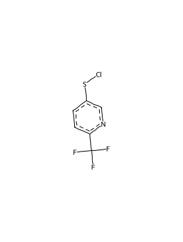 FC(F)(F)c1ccc(SCl)cn1